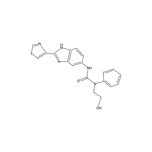 O=C(Nc1ccc2[nH]c(-c3cscn3)nc2c1)N(CCO)c1ccccc1